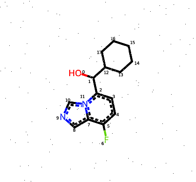 OC(c1ccc(F)c2cncn12)C1CCCCC1